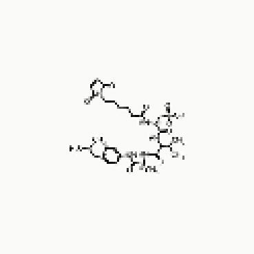 CC(C)Cc1ccc(NC(=O)[C@H](C)NC(=O)C(NC(=O)[C@H](CS(=O)(=O)O)NC(=O)CCCCCN2C(=O)C=CC2=O)C(C)C)cc1